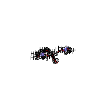 CC(/C=C/C=C(\C)N(CCCS(=O)(=O)O)c1ccc(C(=O)NCCCCCC(=O)NC2CCN(c3nc(N4CCC(NC(=O)CCCCCN(/C(C)=C/C=C/C(CCCS(=O)(=O)O)=[N+](\CCCS(=O)(=O)O)c5ccc6c(S(=O)(=O)O)cc(S(=O)(=O)O)cc6c5C)c5ccc6c(S(=O)(=O)O)cc(S(=O)(=O)O)cc6c5C)CC4)nc(N4CCC(C(=O)ON5C(=O)c6ccccc6C5=O)CC4)n3)CC2)cc1C)=N/CCCS(=O)(=O)O